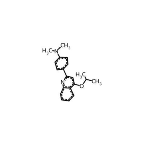 CC(C)Oc1cc(-c2ccc(N(C)C)cc2)nc2ccccc12